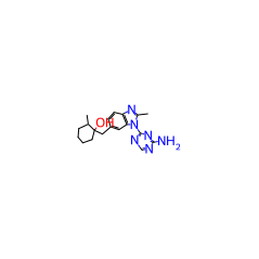 Cc1nc2ccc(CC3(O)CCCCC3C)cc2n1-c1ncnc(N)n1